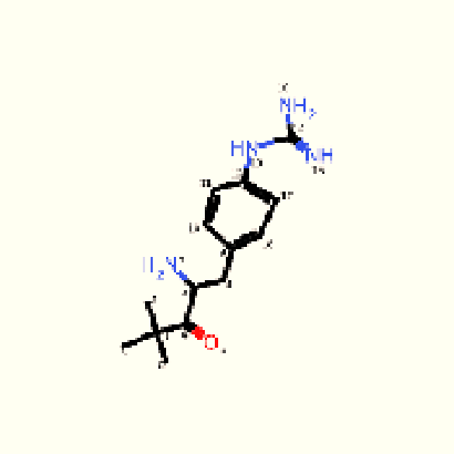 CC(C)(C)C(=O)C(N)Cc1ccc(NC(=N)N)cc1